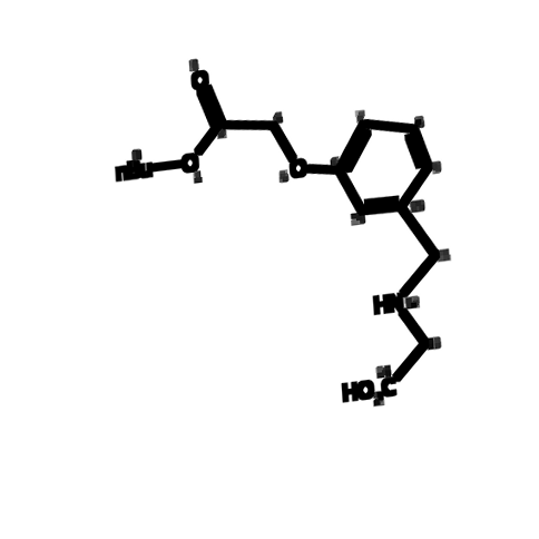 CCCCOC(=O)COc1cccc(CNCC(=O)O)c1